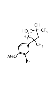 COc1ccc(C(C)(C)CC(O)(C(=O)O)C(F)(F)F)cc1Br